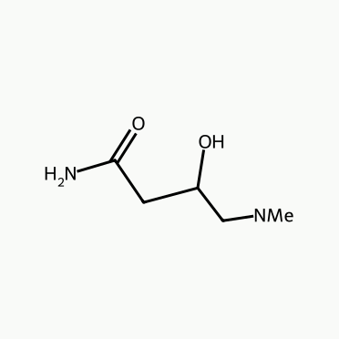 CNCC(O)CC(N)=O